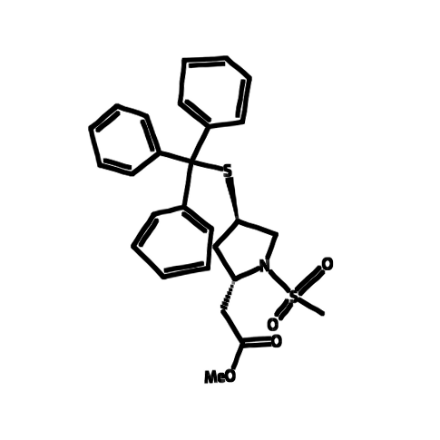 COC(=O)C[C@@H]1C[C@@H](SC(c2ccccc2)(c2ccccc2)c2ccccc2)CN1S(C)(=O)=O